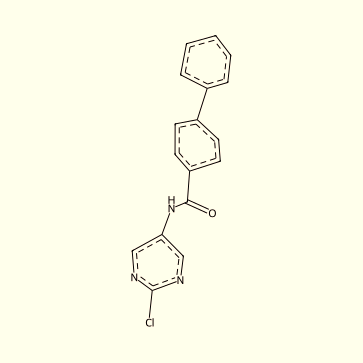 O=C(Nc1cnc(Cl)nc1)c1ccc(-c2ccccc2)cc1